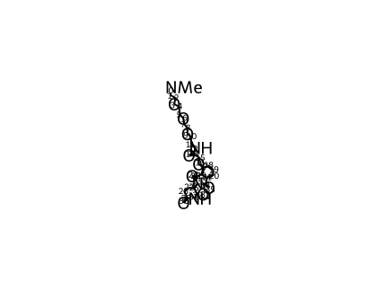 CNCCOCCOCCOCCNC(=O)COc1cccc2c1C(=O)N(C1CCC(=O)NC1=O)C2=O